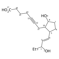 CCC(O)C=CC1CCC(O)C1CC#CCCCC(=O)O